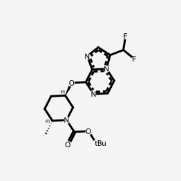 C[C@@H]1CC[C@@H](Oc2nccn3c(C(F)F)cnc23)CN1C(=O)OC(C)(C)C